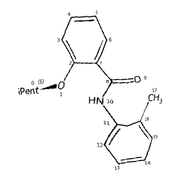 CCC[C@H](C)Oc1ccccc1C(=O)Nc1ccccc1C